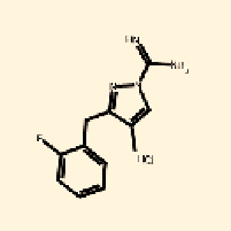 Cc1cn(C(=N)N)nc1Cc1ccccc1F.Cl